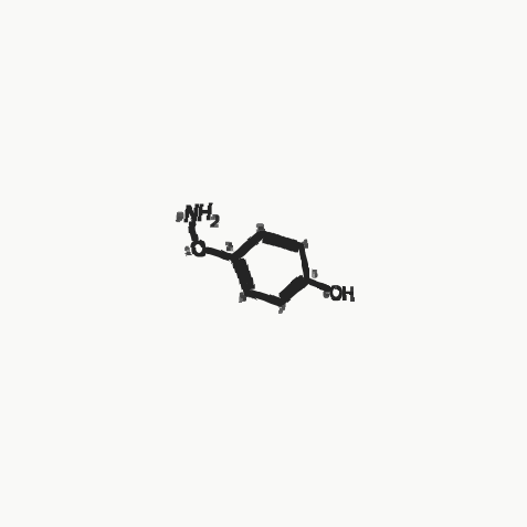 NOc1ccc(O)cc1